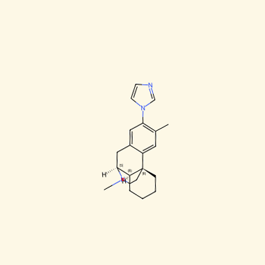 Cc1cc2c(cc1-n1ccnc1)C[C@H]1[C@@H]3CCCC[C@]23CCN1C